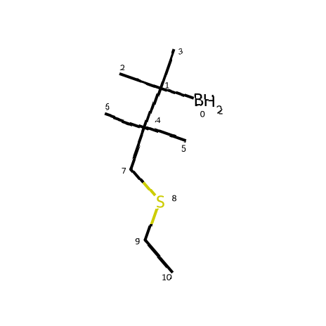 BC(C)(C)C(C)(C)CSCC